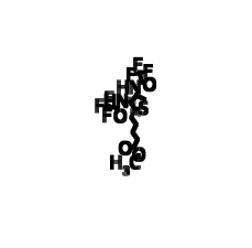 COC(=O)CCCC[C@@H]1SCC(NC(=O)C(F)(F)F)[C@@H]1NC(=O)C(F)(F)F